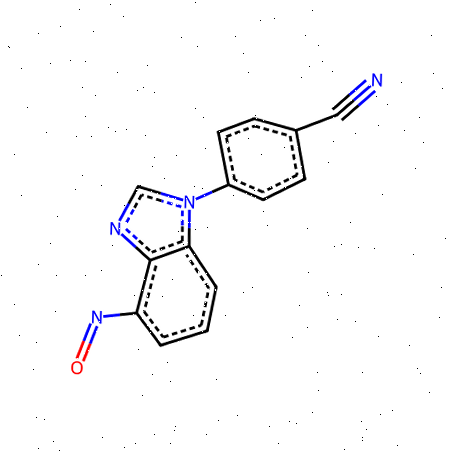 N#Cc1ccc(-n2cnc3c(N=O)cccc32)cc1